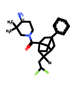 CCC1(CC(F)F)C2CC3(c4ccccc4)CC1C(C(=O)N1CC[C@H](N)C(C)(C)C1)(C2)C3